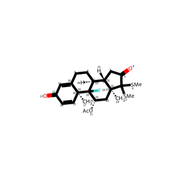 CSC1(SC)C(=O)C[C@H]2[C@@H]3CCC4=CC(=O)C=C[C@]4(C)C3(F)[C@@H](OC(C)=O)C[C@@]21C